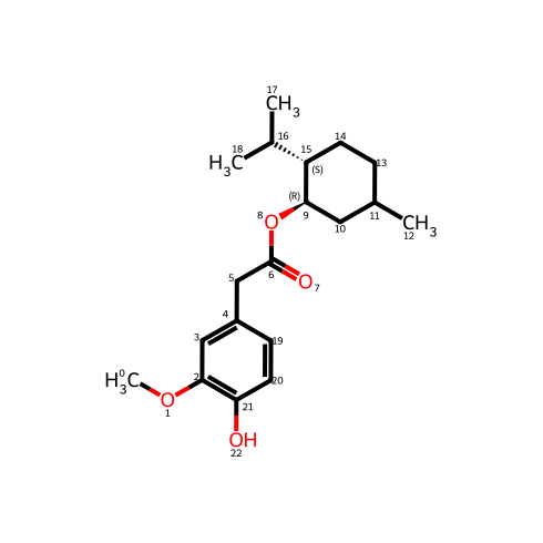 COc1cc(CC(=O)O[C@@H]2CC(C)CC[C@H]2C(C)C)ccc1O